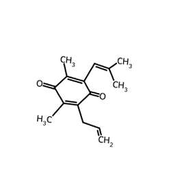 C=CCC1=C(C)C(=O)C(C)=C(C=C(C)C)C1=O